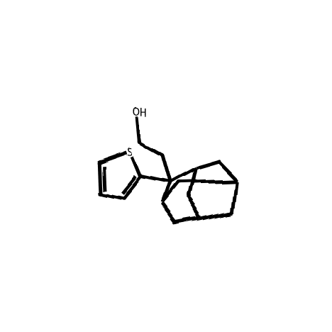 OCCC1(c2cccs2)C2CC3CC(C2)CC1C3